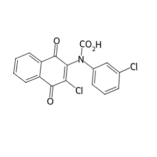 O=C1C(Cl)=C(N(C(=O)O)c2cccc(Cl)c2)C(=O)c2ccccc21